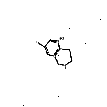 Brc1cnc2c(c1)CNCC2.Cl